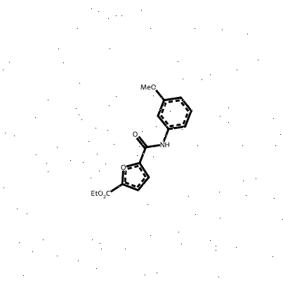 CCOC(=O)c1ccc(C(=O)Nc2cccc(OC)c2)o1